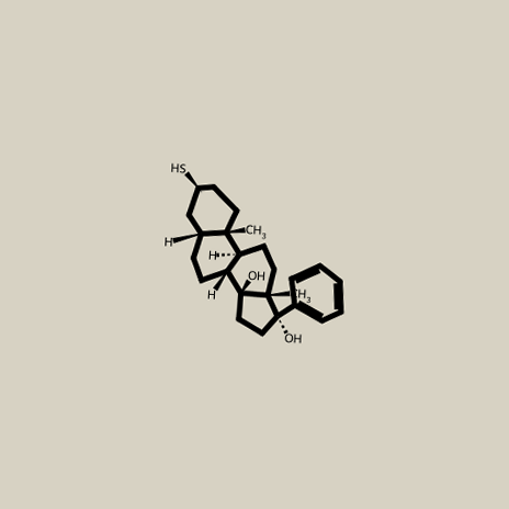 C[C@]12CC[C@H](S)C[C@H]1CC[C@@H]1[C@@H]2CC[C@]2(C)[C@@](O)(c3ccccc3)CC[C@]12O